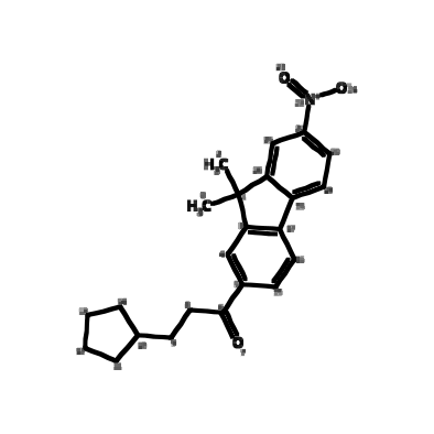 CC1(C)c2cc(C(=O)CCC3CCCC3)ccc2-c2ccc([N+](=O)[O-])cc21